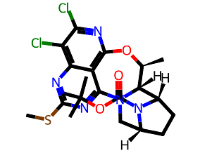 CSc1nc2c3c(nc(Cl)c(Cl)c3n1)O[C@@H](C)[C@@H]1[C@@H]3CC[C@H](CN21)N3C(=O)OC(C)(C)C